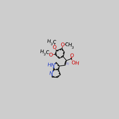 COc1cc(/C(=C\c2c[nH]c3ncccc23)C(=O)O)cc(OC)c1OC